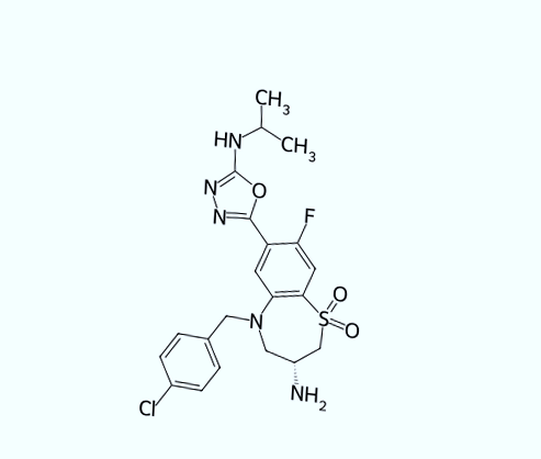 CC(C)Nc1nnc(-c2cc3c(cc2F)S(=O)(=O)C[C@H](N)CN3Cc2ccc(Cl)cc2)o1